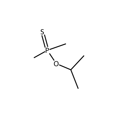 CC(C)OP(C)(C)=S